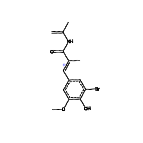 C=C(C)NC(=O)/C(C)=C/c1cc(Br)c(O)c(OC)c1